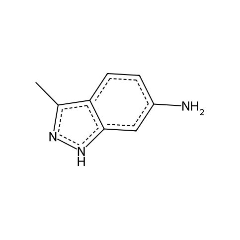 Cc1n[nH]c2cc(N)ccc12